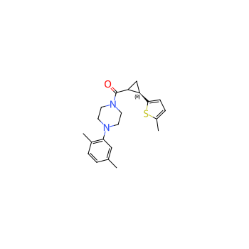 Cc1ccc(C)c(N2CCN(C(=O)C3C[C@H]3c3ccc(C)s3)CC2)c1